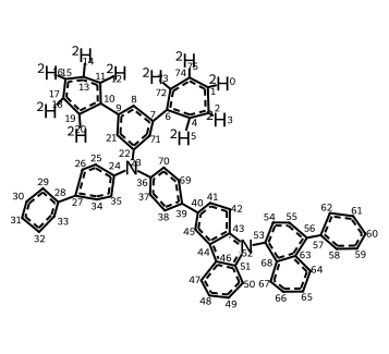 [2H]c1c([2H])c([2H])c(-c2cc(-c3c([2H])c([2H])c([2H])c([2H])c3[2H])cc(N(c3ccc(-c4ccccc4)cc3)c3ccc(-c4ccc5c(c4)c4ccccc4n5-c4ccc(-c5ccccc5)c5ccccc45)cc3)c2)c([2H])c1[2H]